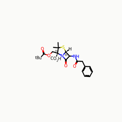 CC(C)(C)C(=O)OC[C@@]1(C(=O)O)N2C(=O)C(NC(=O)Cc3ccccc3)[C@H]2SC1(C)C